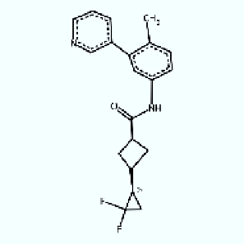 Cc1ccc(NC(=O)C2CC([C@H]3CC3(F)F)C2)cc1-c1cccnc1